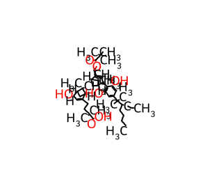 CC(C)(CCC1=C[C@@H](O)[C@@H]2C[C@H]1C2(C)C)C(=O)O.CCCCCC(CCC)C(C)(C)c1cc(O)c([C@H]2C=C(COC(=O)C(C)(C)C)[C@H]3C[C@@H]2C3(C)C)c(O)c1